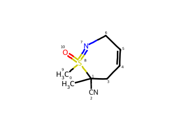 CC1(C#N)CC=CCN=S1(C)=O